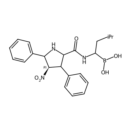 CC(C)CC(NC(=O)C1NC(c2ccccc2)[C@H]([N+](=O)[O-])C1c1ccccc1)B(O)O